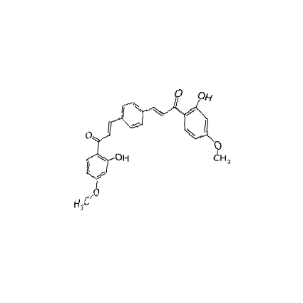 COc1ccc(C(=O)C=Cc2ccc(C=CC(=O)c3ccc(OC)cc3O)cc2)c(O)c1